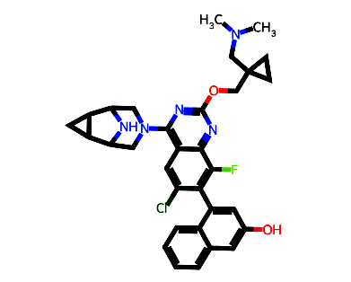 CN(C)CC1(COc2nc(N3CC4NC(C3)C3CC43)c3cc(Cl)c(-c4cc(O)cc5ccccc45)c(F)c3n2)CC1